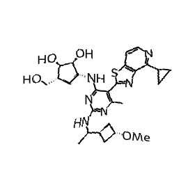 CO[C@H]1C[C@H]([C@@H](C)Nc2nc(C)c(-c3nc4c(C5CC5)nccc4s3)c(N[C@@H]3C[C@H](CO)[C@@H](O)[C@H]3O)n2)C1